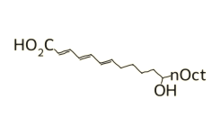 CCCCCCCCC(O)CCCCC=CC=CC=CC(=O)O